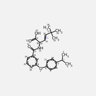 CC(C)c1ccc(Oc2cc(C(=O)N[C@H](/C=C/C(C)(C)C)C(=O)O)ccn2)cc1